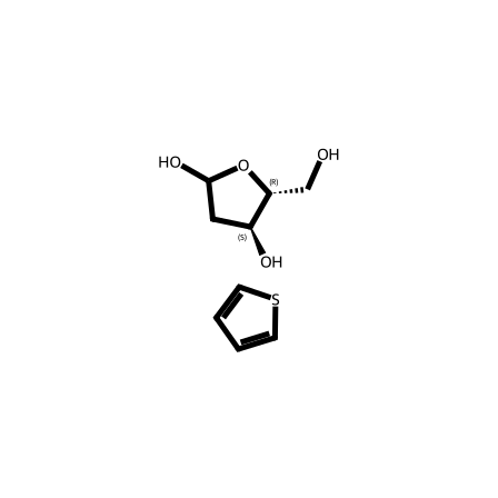 OC[C@H]1OC(O)C[C@@H]1O.c1ccsc1